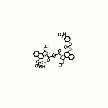 O=C(Oc1ccc([N+](=O)[O-])cc1)Oc1cc2c(c3ccccc13)[C@H](CCl)CN2C(=O)C12CC(C(=O)N3C[C@@H](CCl)c4c3cc(OP(=O)(O)O)c3ccccc43)(C1)C2